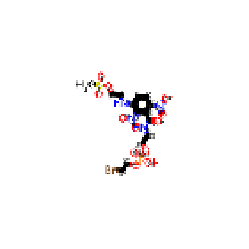 CS(=O)(=O)OCCNc1ccc([N+](=O)[O-])c(C(=O)NCCOP(=O)(O)OCCBr)c1[N+](=O)[O-]